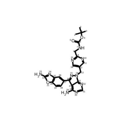 CC(C)(C)OC(=O)NCc1ncc(Cn2nc(-c3ccc4oc(N)nc4c3)c3c(N)ncnc32)cn1